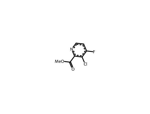 COC(=O)c1nccc(F)c1Cl